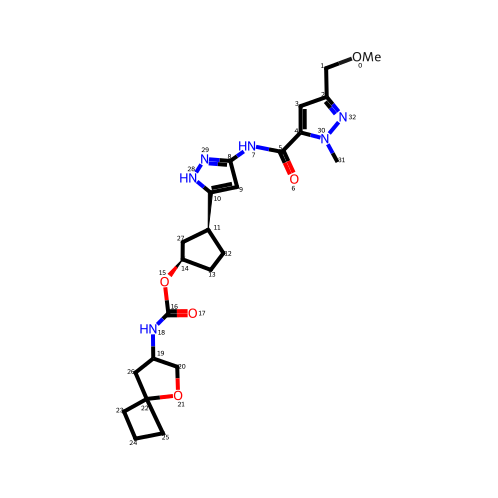 COCc1cc(C(=O)Nc2cc([C@H]3CC[C@@H](OC(=O)NC4COC5(CCC5)C4)C3)[nH]n2)n(C)n1